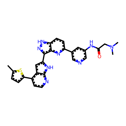 Cc1ccc(-c2ccnc3[nH]c(-c4n[nH]c5ccc(-c6cncc(NC(=O)CN(C)C)c6)nc45)cc23)s1